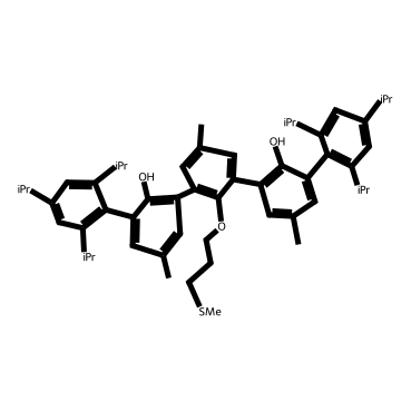 CSCCCOc1c(-c2cc(C)cc(-c3c(C(C)C)cc(C(C)C)cc3C(C)C)c2O)cc(C)cc1-c1cc(C)cc(-c2c(C(C)C)cc(C(C)C)cc2C(C)C)c1O